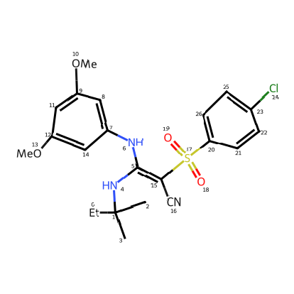 CCC(C)(C)NC(Nc1cc(OC)cc(OC)c1)=C(C#N)S(=O)(=O)c1ccc(Cl)cc1